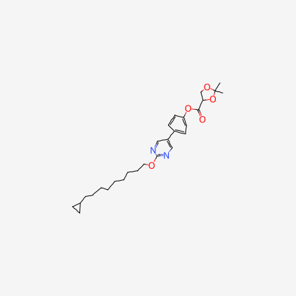 CC1(C)OCC(C(=O)Oc2ccc(-c3cnc(OCCCCCCCCCC4CC4)nc3)cc2)O1